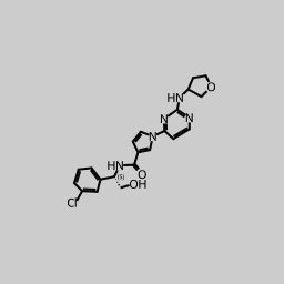 O=C(N[C@H](CO)c1cccc(Cl)c1)c1ccn(-c2ccnc(NC3CCOC3)n2)c1